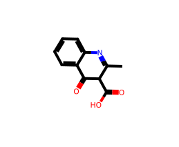 CC1=Nc2ccccc2C(=O)C1C(=O)O